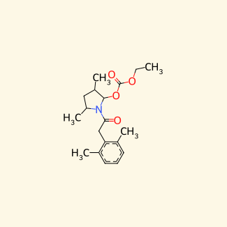 CCOC(=O)OC1C(C)CC(C)N1C(=O)Cc1c(C)cccc1C